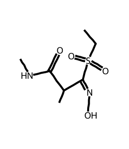 CCS(=O)(=O)C(=NO)C(C)C(=O)NC